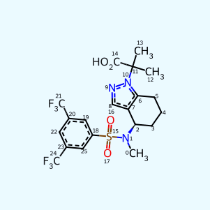 CN([C@@H]1CCCc2c1cnn2C(C)(C)C(=O)O)S(=O)(=O)c1cc(C(F)(F)F)cc(C(F)(F)F)c1